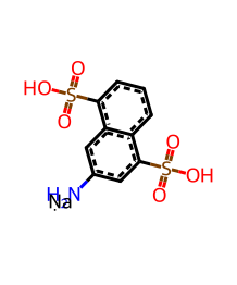 Nc1cc(S(=O)(=O)O)c2cccc(S(=O)(=O)O)c2c1.[Na]